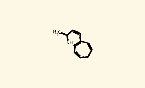 CC(N)/C=C\C1=CC=CCC=C1